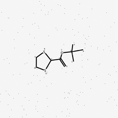 C=C(OC(C)(C)C)C1SCCS1